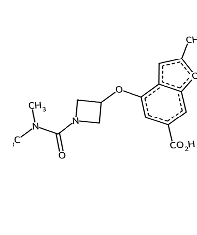 Cc1cc2c(OC3CN(C(=O)N(C)C)C3)cc(C(=O)O)cc2o1